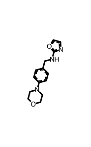 c1coc(NCc2ccc(N3CCOCC3)cc2)n1